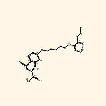 CCCc1ccccc1OCCCCCOc1ccc2c(=O)cc(C(=O)O)oc2c1